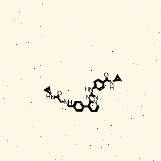 O=C(CNCc1ccc(-c2cccn3nc(Nc4ccc(C(=O)NC5CC5)cc4)nc23)cc1)NC1CC1